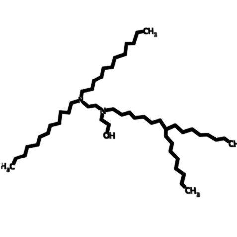 CCCCCCCCCCCCN(CCCCCCCCCCCC)CCN(CCO)CCCCCCCC(CCCCCCCC)CCCCCCCC